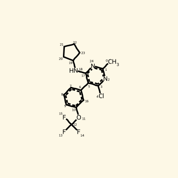 Cc1nc(Cl)c(-c2cccc(OC(F)(F)F)c2)c(NC2CCCC2)n1